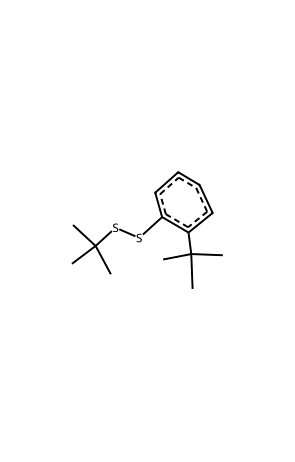 CC(C)(C)SSc1ccccc1C(C)(C)C